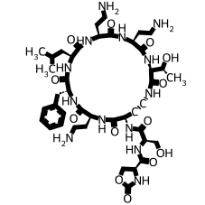 CC(C)C[C@@H]1NC(=O)[C@@H](Cc2ccccc2)NC(=O)[C@H](CCN)NC(=O)[C@@H](NC(=O)[C@@H](CO)NC(=O)[C@@H]2COC(=O)N2)CCNC(=O)[C@H]([C@@H](C)O)NC(=O)[C@H](CCN)NC(=O)[C@H](CCN)NC1=O